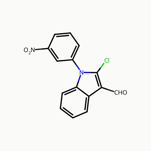 O=Cc1c(Cl)n(-c2cccc([N+](=O)[O-])c2)c2ccccc12